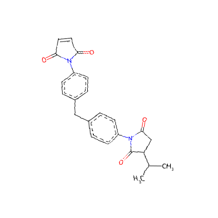 CC(C)C1CC(=O)N(c2ccc(Cc3ccc(N4C(=O)C=CC4=O)cc3)cc2)C1=O